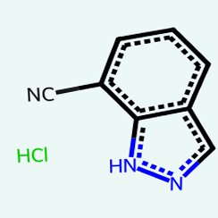 Cl.N#Cc1cccc2cn[nH]c12